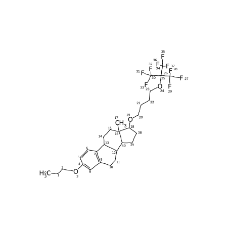 CCCOc1ccc2c(c1)CCC1C2CCC2(C)C(OCCCCOC(C(F)(F)F)(C(F)(F)F)C(F)(F)F)CCC12